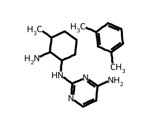 CC1CCCC(Nc2nccc(N)n2)C1N.Cc1cccc(C)c1